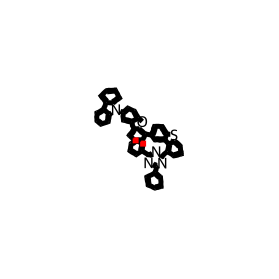 c1ccc(-c2nc(-c3ccccc3)nc(-c3cccc4sc5ccc(-c6cccc7c6oc6ccc(-n8c9ccccc9c9ccccc98)cc67)cc5c34)n2)cc1